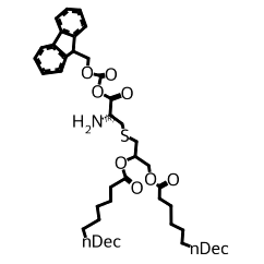 CCCCCCCCCCCCCCCC(=O)OCC(CSC[C@H](N)C(=O)OC(=O)OCC1c2ccccc2-c2ccccc21)OC(=O)CCCCCCCCCCCCCCC